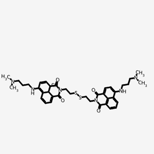 CN(C)CCCNC1=C2C=CC=C3C(=O)N(CCSSCCN4C(=O)c5cccc6c(NCCCN(C)C)ccc(c56)C4=O)C(=O)C(C)(C=C1)C32